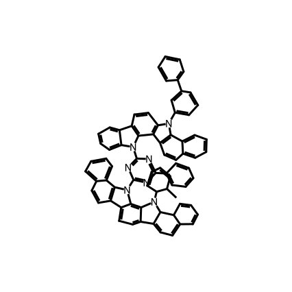 CC1C=CC=CC1N1c2c(ccc3c4ccc5ccccc5c4n(-c4nc(-c5ccccc5)nc(-n5c6ccccc6c6ccc7c(c8ccc9ccccc9c8n7-c7cccc(-c8ccccc8)c7)c65)n4)c23)C2=CC=C3C=CC=CC3C21